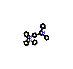 c1ccc(-c2cc(-c3ccc(-n4c5ccccc5c5c6ccccc6n(-c6ccccc6)c54)cc3)cc(-c3ccccc3)n2)cc1